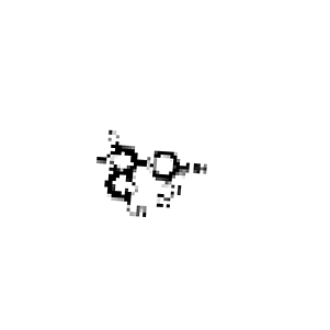 CCO[C@@H]1CN(c2cc(=O)n(C)c3ccc(C#N)nc23)CC[C@H]1O